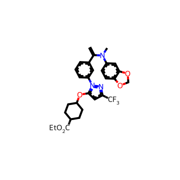 C=C(c1cccc(-n2nc(C(F)(F)F)cc2OC2CCC(C(=O)OCC)CC2)c1)N(C)c1ccc2c(c1)OCO2